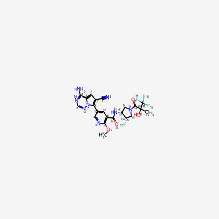 COc1ncc(-c2c(C#N)cc3c(N)ncnn23)cc1C(=O)N[C@@H]1CN(C(=O)C(C)(O)C(F)(F)F)C[C@@H]1F